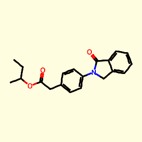 CCC(C)OC(=O)Cc1ccc(N2Cc3ccccc3C2=O)cc1